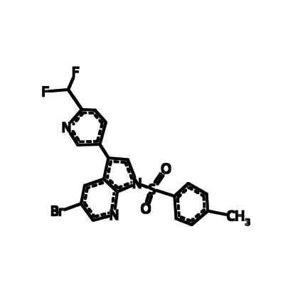 Cc1ccc(S(=O)(=O)n2cc(-c3ccc(C(F)F)nc3)c3cc(Br)cnc32)cc1